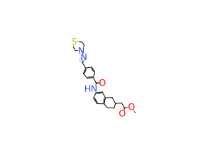 COC(=O)CC1CCc2ccc(NC(=O)c3ccc(/C=N/N4CCSCC4)cc3)cc2C1